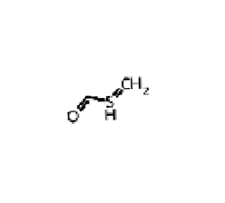 C=[SH]C=O